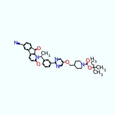 C[C@@H](c1cccc(-c2ncc(OCC3CCN(C(=O)OC(C)(C)C)CC3)cn2)c1)n1c2c(ccc1=O)-c1cc(C#N)ccc1C2=O